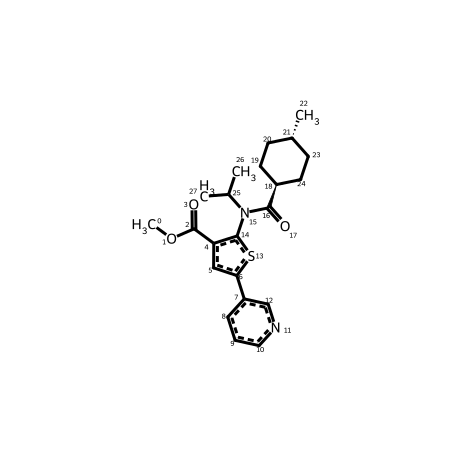 COC(=O)c1cc(-c2cccnc2)sc1N(C(=O)[C@H]1CC[C@H](C)CC1)C(C)C